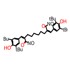 CC(C)(C)c1cc(C=C(CCCCCCC(=Cc2cc(C(C)(C)C)c(O)c(C(C)(C)C)c2)C(=O)N=O)C(=O)N=O)cc(C(C)(C)C)c1O